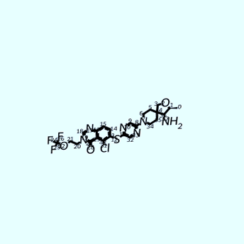 C[C@@H]1OCC2(CCN(c3cnc(Sc4ccc5ncn(CCOC(F)(F)F)c(=O)c5c4Cl)cn3)CC2)[C@@H]1N